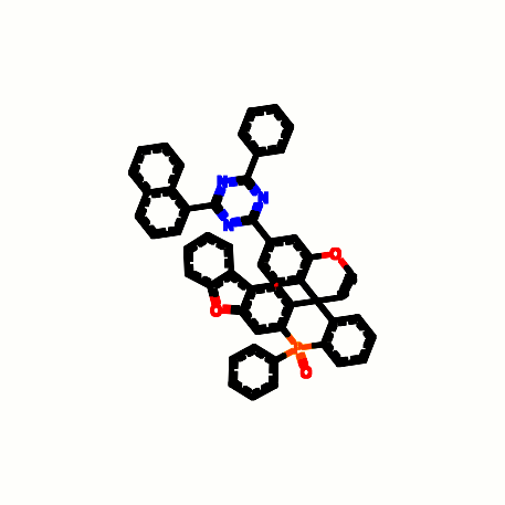 O=P1(c2ccccc2)c2ccccc2C2(c3ccccc3Oc3cc(-c4nc(-c5ccccc5)nc(-c5cccc6ccccc56)n4)ccc32)c2cc3c(cc21)oc1ccccc13